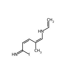 C=CN/C=C(C)\C=C/C(=N)I